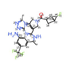 Cc1nnc2nc(NC(C)c3cc(N)cc(C(F)(F)F)c3)c3c(n12)CN(C(=O)C12CC(F)C(C1)C2)C3